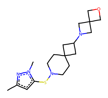 Cc1cc(SN2CCC3(CC2)CC(N2CC4(COC4)C2)C3)n(C)n1